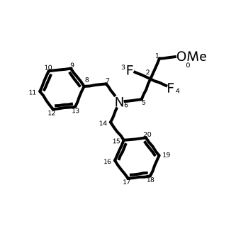 COCC(F)(F)CN(Cc1ccccc1)Cc1ccccc1